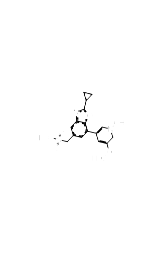 COC1=CC(c2cc(CS(C)(=O)=O)cc3nc(C4CC4)oc23)=CN(C)C1